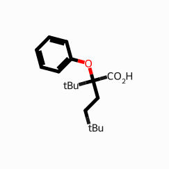 CC(C)(C)CCC(Oc1ccccc1)(C(=O)O)C(C)(C)C